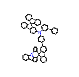 c1ccc(-c2cccc(N(c3ccc(-c4ccc5c(c4)C4(c6ccccc6-5)c5ccccc5-n5c6ccccc6c6cccc4c65)cc3)c3ccc4c(c3)C3(c5ccccc5-c5ccccc53)c3ccccc3-4)c2)cc1